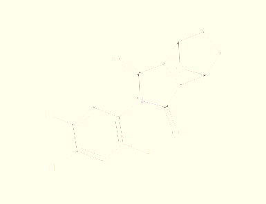 O=C1C2C3CCC(O3)C2C(=O)N1c1cc(F)c(F)cc1F